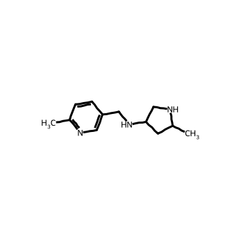 Cc1ccc(CNC2CNC(C)C2)cn1